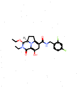 CCO[C@H]1[C@H]2CCC3=C(C(=O)NCc4ccc(F)cc4F)CC(O)=C(C(=O)N1CC)N32